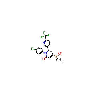 C[S+]([O-])C1=CC(=O)N(c2ccc(F)cc2)C(c2ccc(C(F)(F)F)nc2)C1